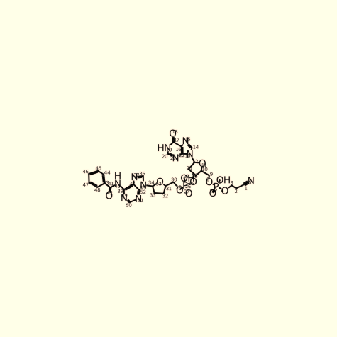 N#CCCOP(=O)(O)OCC1OC(n2cnc3c(=O)[nH]cnc32)C[C@@H]1OP(=O)(O)OCC1CCC(n2cnc3c(NC(=O)c4ccccc4)ncnc32)O1